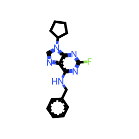 Fc1nc(NCc2ccccc2)c2ncn(C3CCCC3)c2n1